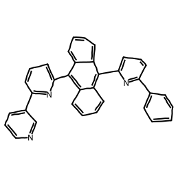 c1ccc(-c2cccc(-c3c4ccccc4c(-c4cccc(-c5cccnc5)n4)c4ccccc34)n2)cc1